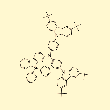 CC(C)(C)c1ccc2c(c1)c1cc(C(C)(C)C)ccc1n2-c1ccc(N(c2ccc(-n3c4ccc(C(C)(C)C)cc4c4cc(C(C)(C)C)ccc43)cc2)c2cccc([Si](c3ccccc3)(c3ccccc3)c3ccccc3)c2)cc1